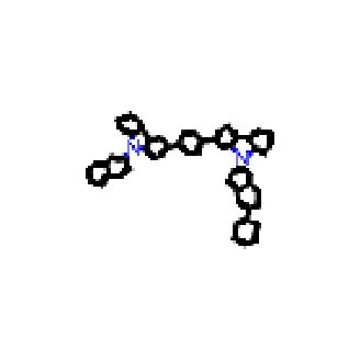 c1ccc(-c2ccc3cc(-n4c5ccccc5c5ccc(-c6ccc(-c7ccc8c(c7)c7ccccc7n8-c7ccc8ccccc8c7)cc6)cc54)ccc3c2)cc1